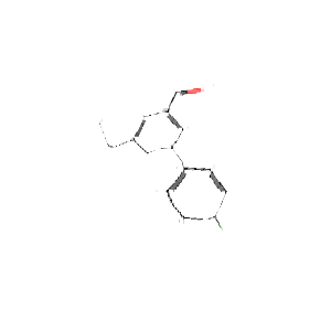 CCC1=CC(C=O)=CC(C2=CCC(F)C=C2)C1